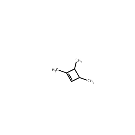 C[C]1C=C(C)C1C